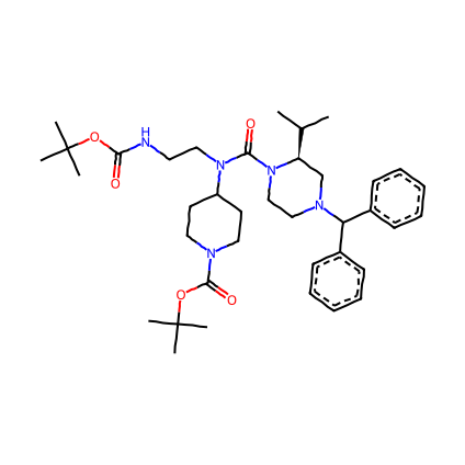 CC(C)[C@H]1CN(C(c2ccccc2)c2ccccc2)CCN1C(=O)N(CCNC(=O)OC(C)(C)C)C1CCN(C(=O)OC(C)(C)C)CC1